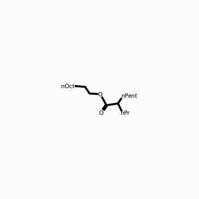 CCCCCCCCCCOC(=O)C(CCC)CCCCC